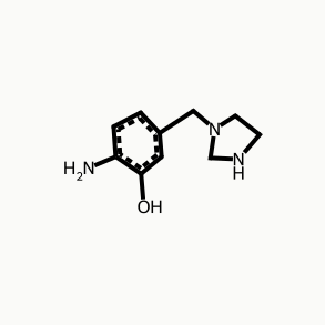 Nc1ccc(CN2CCNC2)cc1O